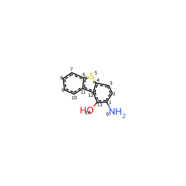 Nc1ccc2sc3ccccc3c2c1O